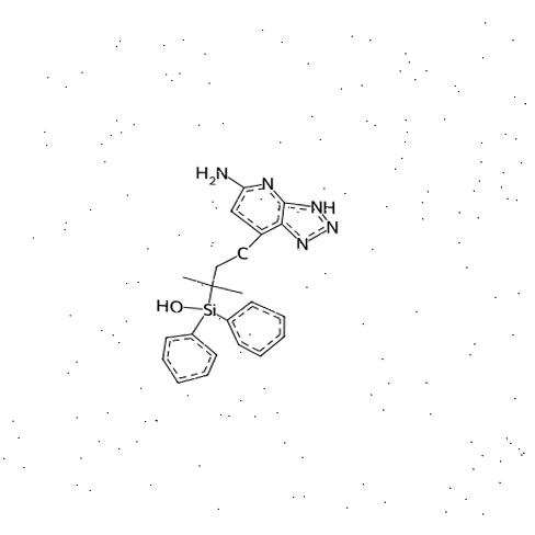 CC(C)(CCc1cc(N)nc2[nH]nnc12)[Si](O)(c1ccccc1)c1ccccc1